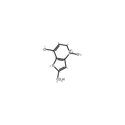 O=C(O)c1cc2c(o1)C(Cl)=CC[NH+]2[O-]